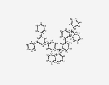 c1ccc(-c2cc(-c3ccccc3)cc(-c3ccc(N(c4cccc(-c5cccc6c5c5ccccc5n6-c5ccccc5)c4)c4cccc5ccccc45)cc3)c2)cc1